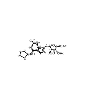 CC(=O)OC1OC(Cn2ncc3c(NC4CCCC4)nc(Cl)nc32)[C@H](OC(C)=O)[C@@H]1OC(C)=O